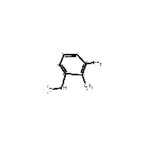 CPc1cccc(P)c1C